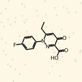 CCc1cc(=O)c(C(=O)O)nn1-c1ccc(F)cc1